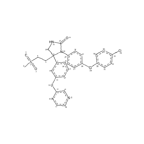 CS(=O)(=O)CCC1(c2cccc(Oc3cnccn3)c2)CNC(=O)N1c1ccc(Oc2ccc(Cl)cc2)cc1